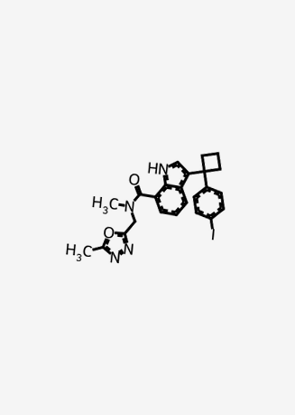 Cc1nnc(CN(C)C(=O)c2cccc3c(C4(c5ccc(I)cc5)CCC4)c[nH]c23)o1